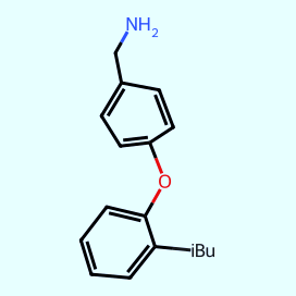 CCC(C)c1ccccc1Oc1ccc(CN)cc1